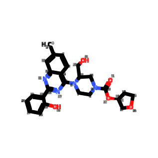 Cc1ccc2c(N3CCN(C(=O)O[C@H]4CCOC4)CC3CO)nc(-c3ccccc3O)nc2c1